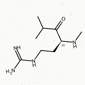 CN[C@@H](CCNC(=N)N)C(=O)C(C)C